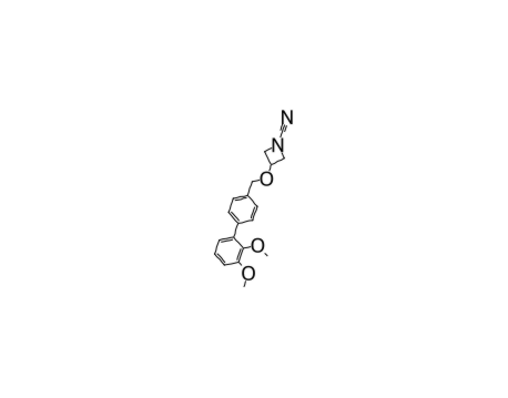 COc1cccc(-c2ccc(COC3CN(C#N)C3)cc2)c1OC